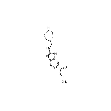 CCOC(=O)c1ccc2[nH]c(NCC3CCNCC3)nc2c1